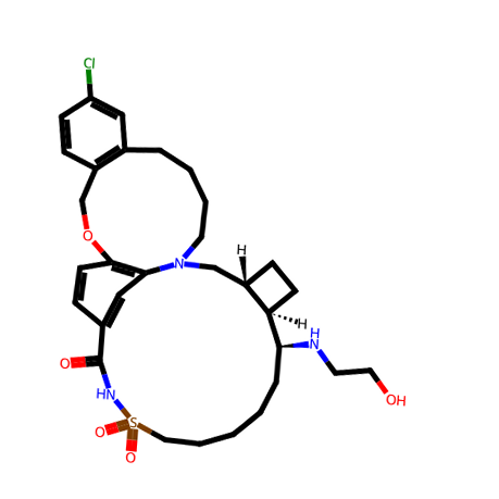 O=C1NS(=O)(=O)CCCCC[C@H](NCCO)[C@@H]2CC[C@H]2CN2CCCCc3cc(Cl)ccc3COc3ccc1cc32